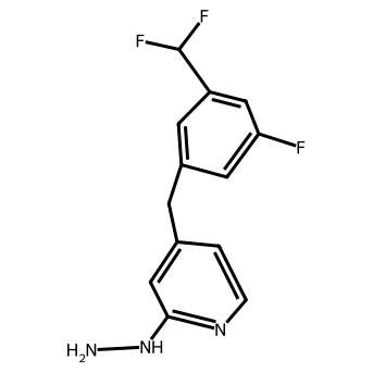 NNc1cc(Cc2cc(F)cc(C(F)F)c2)ccn1